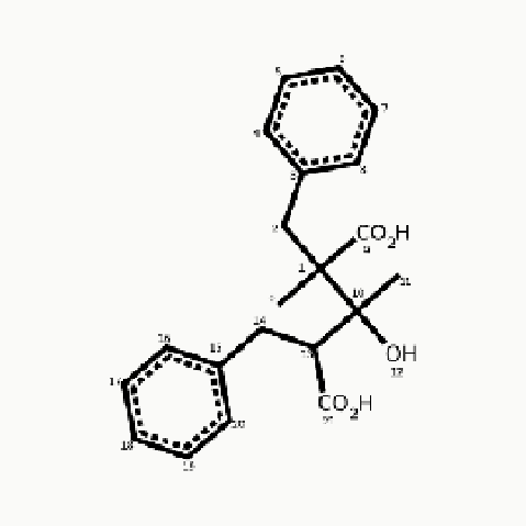 CC(Cc1ccccc1)(C(=O)O)C(C)(O)C(Cc1ccccc1)C(=O)O